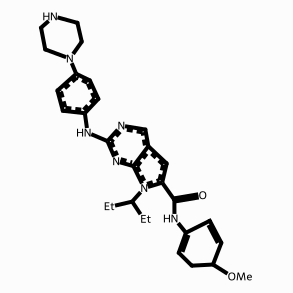 CCC(CC)n1c(C(=O)NC2=CCC(OC)C=C2)cc2cnc(Nc3ccc(N4CCNCC4)cc3)nc21